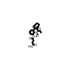 CCC(=NOC)C1=C(c2cc[c]c(OC(=O)CCC(=O)O)c2)CC2CC[C@H]1N2